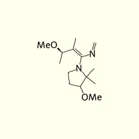 C=N/C(=C(\C)[C@@H](C)OC)N1CCC(OC)C1(C)C